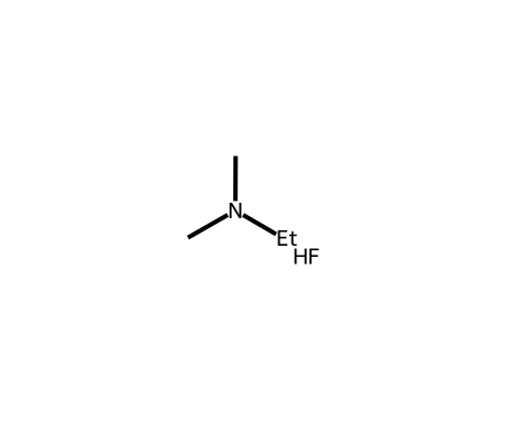 CCN(C)C.F